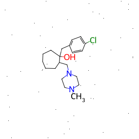 CN1CCN(CC2CCCCCC2(O)Cc2ccc(Cl)cc2)CC1